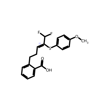 COc1ccc(S/C(=C\CCc2ccccc2C(=O)O)C(F)F)cc1